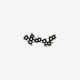 CC1(C)c2cc(-c3ccc4cc(-c5c6ccccc6c(-c6ccccc6)c6ccccc56)ccc4c3)ccc2-c2c1ccc1sc3c4ccccc4ccc3c21